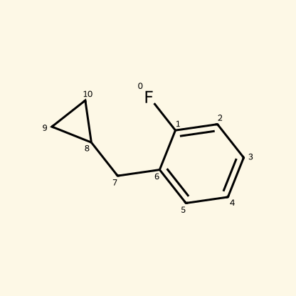 Fc1ccccc1CC1CC1